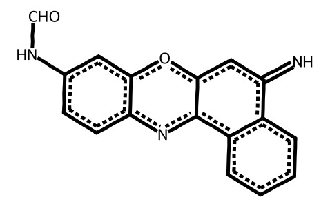 N=c1cc2oc3cc(NC=O)ccc3nc-2c2ccccc12